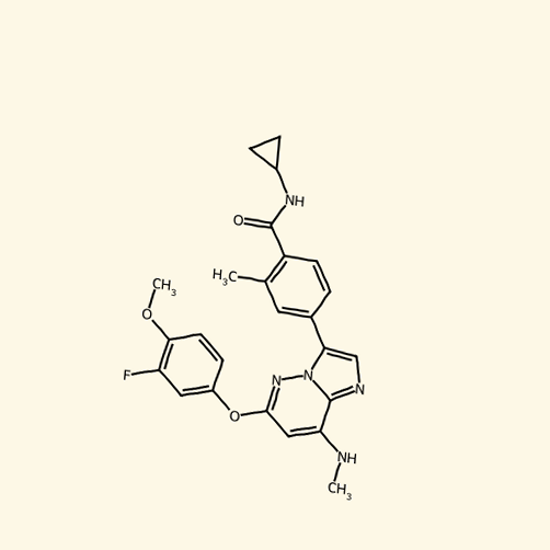 CNc1cc(Oc2ccc(OC)c(F)c2)nn2c(-c3ccc(C(=O)NC4CC4)c(C)c3)cnc12